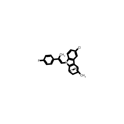 C/C(=C\n1c2c(c3cc(Cl)ccc31)C1CCC2CN1C)c1ccc(F)cc1